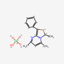 CC1=CC(C)=NC2=C(c3ccccc3)SC(C)N12.[O-][Cl+3]([O-])([O-])O